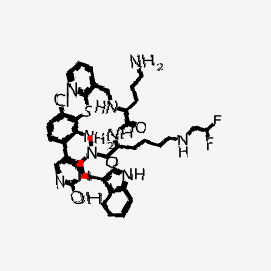 CC(Cc1c[nH]c2c1CCC=C2)N(C)C(=O)C(CCCCNCC(F)F)NC(=O)C(CCCN)NCc1cccnc1Sc1c(Cl)ccc(-c2cnc(O)nc2)c1N